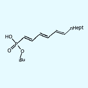 CCCCCCCC=CC=CC=CP(=O)(O)OC(C)CC